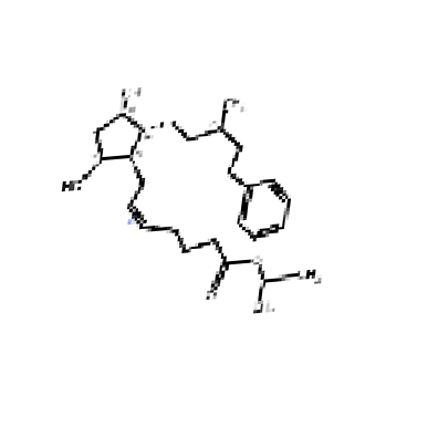 CC(C)OC(=O)CCC/C=C\C[C@@H]1[C@@H](CC[C@@H](C)CCc2ccccc2)[C@H](O)C[C@@H]1O